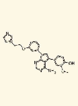 COc1cc(-c2cn(-c3cccc(OCCn4ccnc4)c3)c3ncnc(N)c23)ccc1O